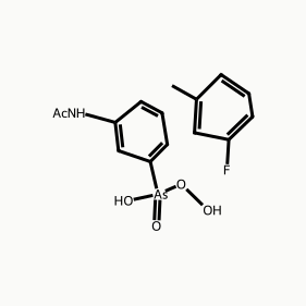 CC(=O)Nc1cccc([As](=O)(O)OO)c1.Cc1cccc(F)c1